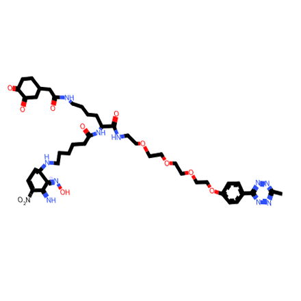 Cc1nnc(-c2ccc(OCCOCCOCCOCCNC(=O)C(CCCCNC(=O)CC3CCC(=O)C(=O)C3)NC(=O)CCCCCNC3=CC=C([N+](=O)[O-])C(=N)/C3=N\O)cc2)nn1